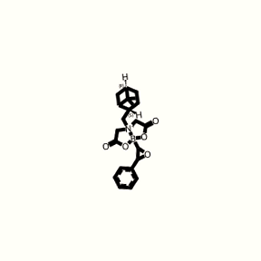 CC1(C)C2C[C@H]1CC[C@@H]2C[N+]12CC(=O)O[B-]1(C1OC1c1ccccc1)OC(=O)C2